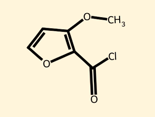 COc1ccoc1C(=O)Cl